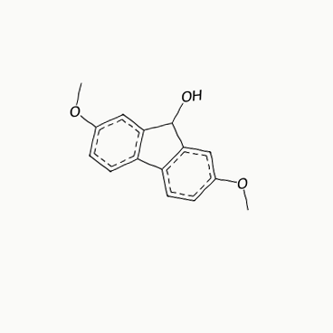 COc1ccc2c(c1)C(O)c1cc(OC)ccc1-2